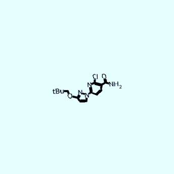 CC(C)(C)COc1ccn(-c2ccc(C(N)=O)c(Cl)n2)n1